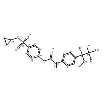 COC(F)(c1ccc(NC(=O)Cc2ccc(S(=O)(=O)CC3CC3)cn2)cc1)C(F)(F)F